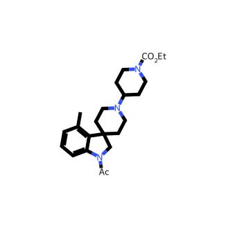 CCOC(=O)N1CCC(N2CCC3(CC2)CN(C(C)=O)c2cccc(C)c23)CC1